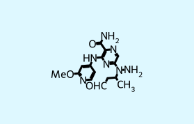 COc1cc(Nc2nc(N(N)C(C)CC=O)cnc2C(N)=O)ccn1